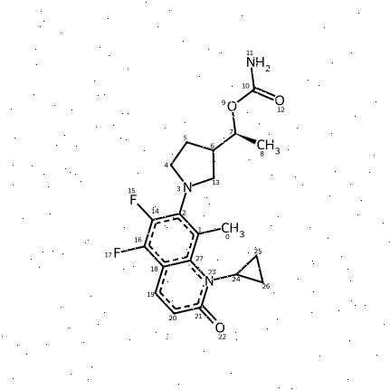 Cc1c(N2CCC([C@H](C)OC(N)=O)C2)c(F)c(F)c2ccc(=O)n(C3CC3)c12